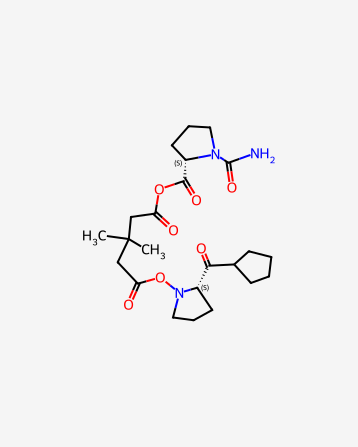 CC(C)(CC(=O)OC(=O)[C@@H]1CCCN1C(N)=O)CC(=O)ON1CCC[C@H]1C(=O)C1CCCC1